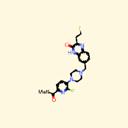 CNC(=O)c1ccc(N2CCN(Cc3ccc4nc(CCF)c(=O)[nH]c4c3)CC2)c(F)n1